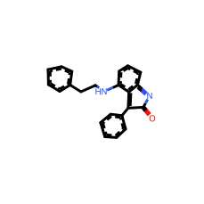 O=C1N=c2cccc(NCCc3ccccc3)c2=C1c1ccccc1